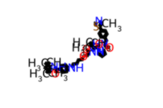 Cc1ncsc1-c1ccc(CNC(=O)[C@@H]2CCCN2C(=O)C(NC(=O)COCCCCNc2ccc(C(=O)NC3C(C)(C)CC3(C)C)cc2)C(C)(C)C)cc1